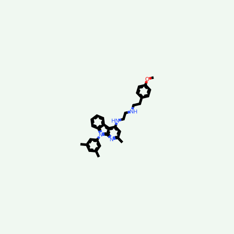 COc1ccc(CCNCCNc2cc(C)nc3c2c2ccccc2n3-c2cc(C)cc(C)c2)cc1